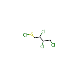 ClCC(Cl)C(Cl)CSCl